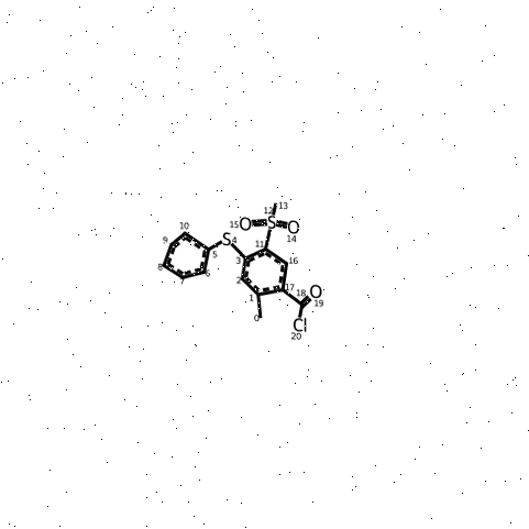 Cc1cc(Sc2ccccc2)c(S(C)(=O)=O)cc1C(=O)Cl